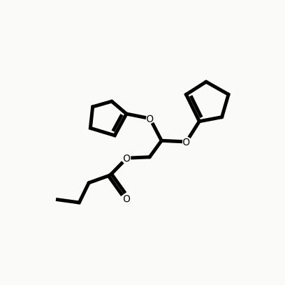 CCCC(=O)OCC(OC1=CCCC1)OC1=CCCC1